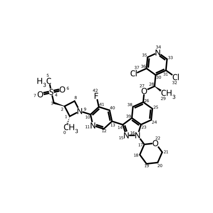 C[C@@H]1[C@@H](CS(C)(=O)=O)CN1c1ncc(-c2nn(C3CCCCO3)c3ccc(O[C@H](C)c4c(Cl)cncc4Cl)cc23)cc1F